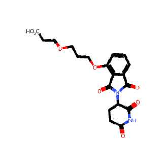 O=C(O)CCOCCCOc1cccc2c1C(=O)N(C1CCC(=O)NC1=O)C2=O